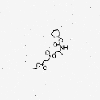 CCOC(=O)/C=C/C(=O)OC[C@H](C)NC(=O)OC1CCCCC1